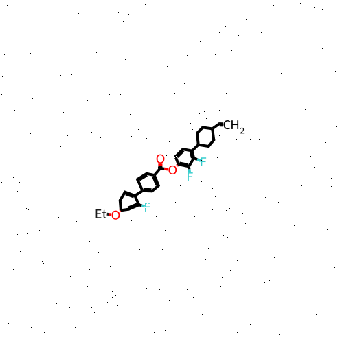 C=CC1CCC(c2ccc(OC(=O)c3ccc(C4=CCC(OCC)C=C4F)cc3)c(F)c2F)CC1